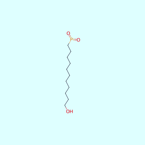 O=P(=O)CCCCCCCCCCCO